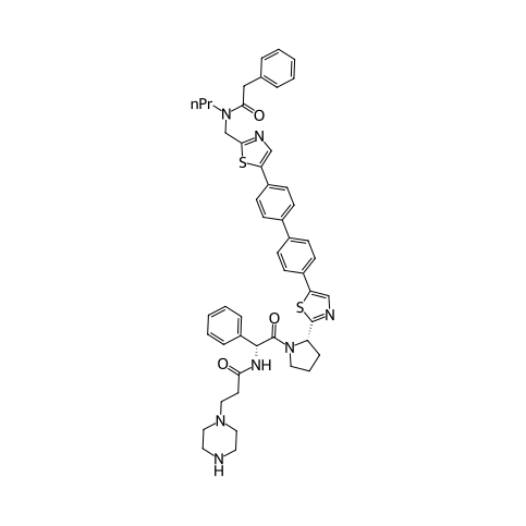 CCCN(Cc1ncc(-c2ccc(-c3ccc(-c4cnc([C@@H]5CCCN5C(=O)[C@H](NC(=O)CCN5CCNCC5)c5ccccc5)s4)cc3)cc2)s1)C(=O)Cc1ccccc1